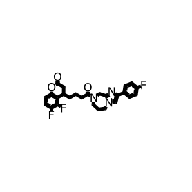 O=C1CC(CCCC(=O)N2CCCn3cc(-c4ccc(F)cc4)nc3C2)c2c(ccc(F)c2F)O1